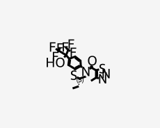 CC[C@H]1CN(C(=O)c2snnc2C)c2ccc(C(O)(C(F)(F)F)C(F)(F)F)cc2S1